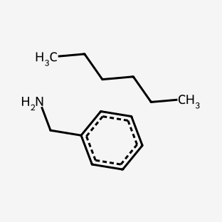 CCCCCC.NCc1ccccc1